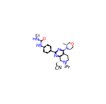 CCNC(=O)Nc1ccc(-c2nc3c(c(N4CCOC[C@@H]4C)n2)CCN(C(C)C)[C@@H]3CC#N)cc1